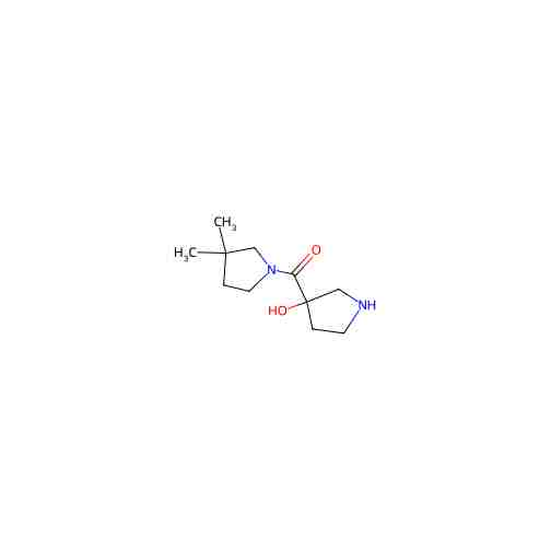 CC1(C)CCN(C(=O)C2(O)CCNC2)C1